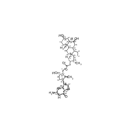 C=C1[C@H](COC(=O)CC[C@@H](C)[C@H]2CCC3C4C[C@H](O)[C@@H]5C[C@H](O)CC[C@]5(C)C4CC[C@@]32C)[C@@H](O)C[C@@H]1n1cnc2c(=O)[nH]c(N)nc21